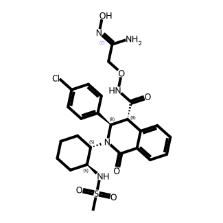 CS(=O)(=O)N[C@H]1CCCC[C@@H]1N1C(=O)c2ccccc2[C@@H](C(=O)NOC/C(N)=N/O)[C@@H]1c1ccc(Cl)cc1